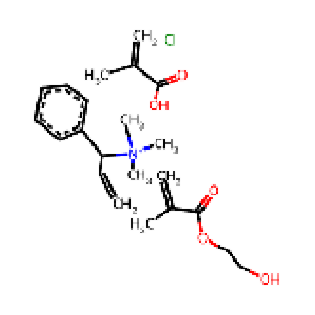 C=C(C)C(=O)O.C=C(C)C(=O)OCCO.C=CC(c1ccccc1)[N+](C)(C)C.[Cl-]